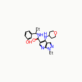 CCC(NC(=O)c1cnc2c(cnn2CC)c1NC1CCOCC1)c1cccc(O)c1